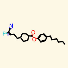 CCCCCCc1ccc(OC(=O)C2CCC(CC/C=C(/F)C#N)CC2)cc1